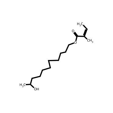 CC=C(C)C(=O)OCCCCCCCCCC(C)O